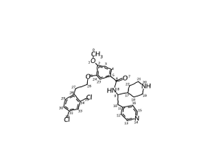 COc1ccc(C(=O)NC(Cc2ccncc2)C2CCNCC2)cc1OCCc1ccc(Cl)cc1Cl